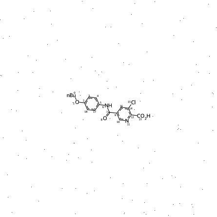 CCCCOc1ccc(NC(=O)c2cnc(C(=O)O)c(Cl)c2)cc1